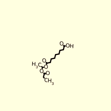 CCC(=O)OC(C)OC(=O)CCCCCCCC(=O)O